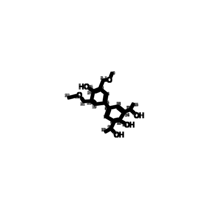 COCc1cc(-c2cc(C(C)O)c(O)c(C(C)O)c2)cc(COC)c1O